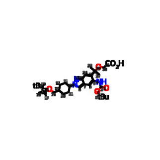 CC(C)(C)OC(=O)Nc1cc2cn(C3CCC(CO[Si](C)(C)C(C)(C)C)CC3)nc2cc1C(C)(C)OCC(=O)O